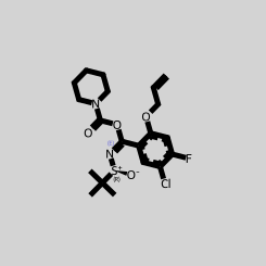 C=CCOc1cc(F)c(Cl)cc1/C(=N\[S@@+]([O-])C(C)(C)C)OC(=O)N1CCCCC1